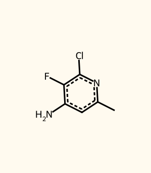 Cc1cc(N)c(F)c(Cl)n1